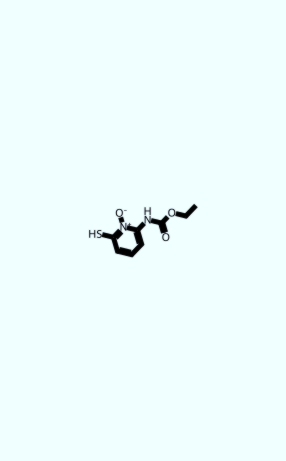 CCOC(=O)Nc1cccc(S)[n+]1[O-]